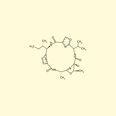 CC[C@H](C)[C@H]1NC(=O)c2coc(n2)C(C(C)C)NC(=O)[C@H]2N=C(O[C@@H]2C)[C@H](C)NC(=O)c2csc1n2